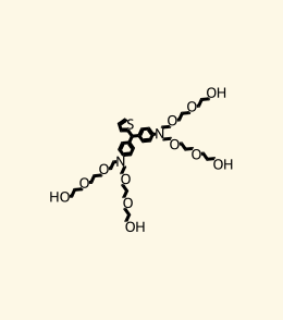 OCCCOCCCOCCN(CCOCCCOCCCO)c1ccc(C(c2ccc(N(CCOCCCOCCCO)CCOCCCOCCCO)cc2)c2cccs2)cc1